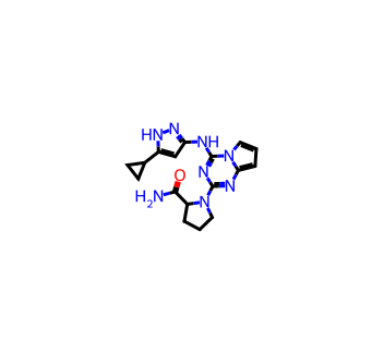 NC(=O)C1CCCN1c1nc(Nc2cc(C3CC3)[nH]n2)n2cccc2n1